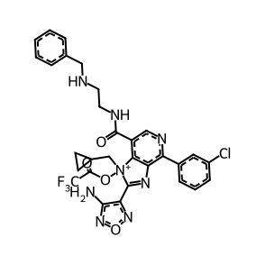 Nc1nonc1C1=Nc2c(-c3cccc(Cl)c3)ncc(C(=O)NCCNCc3ccccc3)c2[N+]1(CC1CC1)OC(=O)C(F)(F)F